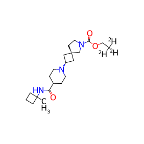 [2H]C([2H])([2H])COC(=O)N1CC[C@]2(C1)C[C@H](N1CCC(C(=O)NC3(C)CCC3)CC1)C2